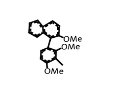 COc1ccc(-c2c(OC)ccc3ccccc23)c(OC)c1C